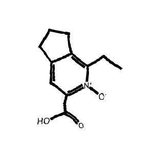 CCc1c2c(cc(C(=O)O)[n+]1[O-])CCC2